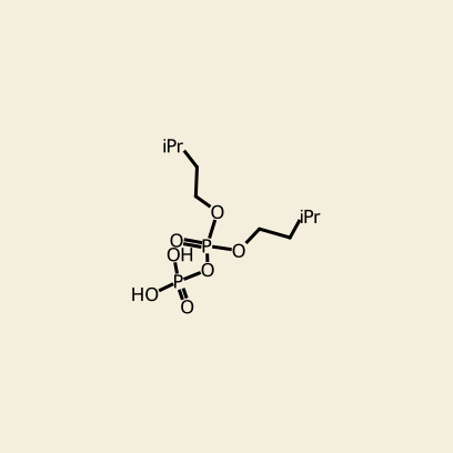 CC(C)CCOP(=O)(OCCC(C)C)OP(=O)(O)O